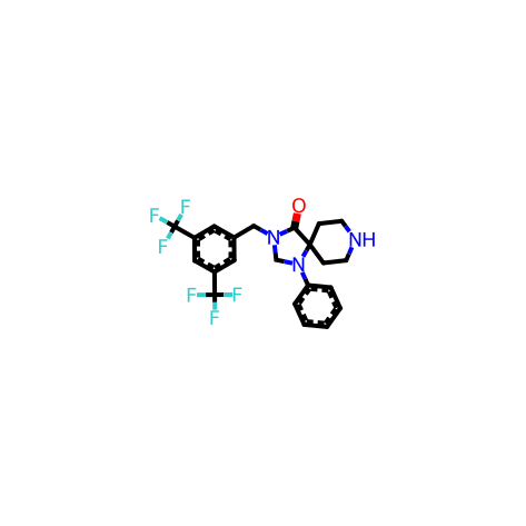 O=C1N(Cc2cc(C(F)(F)F)cc(C(F)(F)F)c2)CN(c2ccccc2)C12CCNCC2